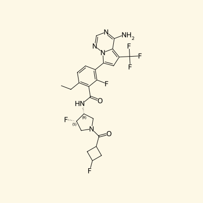 CCc1ccc(-c2cc(C(F)(F)F)c3c(N)ncnn23)c(F)c1C(=O)N[C@@H]1CN(C(=O)C2CC(F)C2)C[C@@H]1F